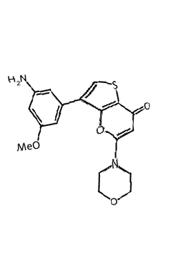 COc1cc(N)cc(-c2csc3c(=O)cc(N4CCOCC4)oc23)c1